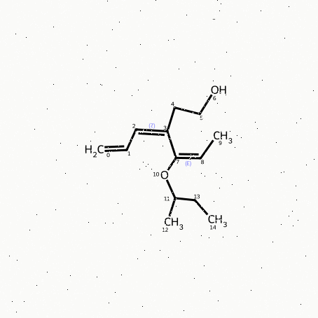 C=C/C=C(CCO)\C(=C/C)OC(C)CC